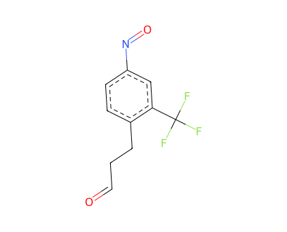 O=CCCc1ccc(N=O)cc1C(F)(F)F